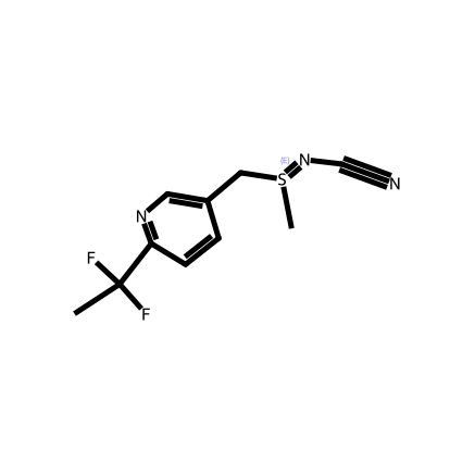 C/S(Cc1ccc(C(C)(F)F)nc1)=N\C#N